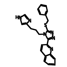 c1ccc(CSc2nnc(-c3ccc4ccccc4n3)n2CCCc2c[nH]cn2)cc1